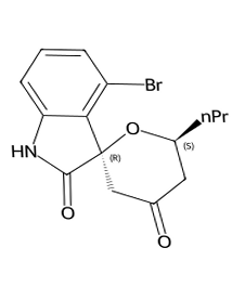 CCC[C@H]1CC(=O)C[C@]2(O1)C(=O)Nc1cccc(Br)c12